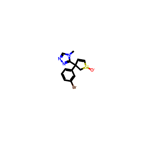 Cn1cnnc1C1(c2cccc(Br)c2)C=C[S+]([O-])C1